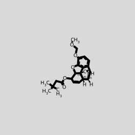 COCOc1ccc2c3c1OC1C(OC(=O)CC(C)(C)C)C=C[C@H]4[C@@H](C2)NCC[C@]314